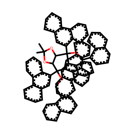 CC1(C)OC(C(OCc2cccc3ccccc23)(c2cc3ccccc3c3ccccc23)c2cc3ccccc3c3ccccc23)C(C(OCc2cccc3ccccc23)(c2cc3ccccc3c3ccccc23)c2cc3ccccc3c3ccccc23)O1